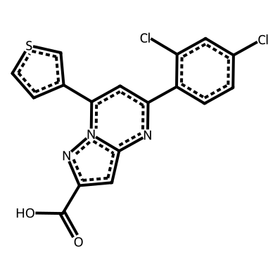 O=C(O)c1cc2nc(-c3ccc(Cl)cc3Cl)cc(-c3ccsc3)n2n1